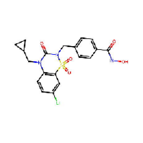 O=C(NO)c1ccc(CN2C(=O)N(CC3CC3)c3ccc(Cl)cc3S2(=O)=O)cc1